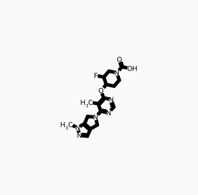 Cc1c(OC2CCN(C(=O)O)CC2F)ncnc1N1Cc2cnn(C)c2C1